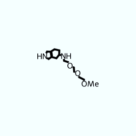 COCCOCCOCCNC1CCC2=C(CNC2)C1